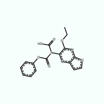 CCOc1nc2occc2nc1N(C(=O)O)C(=O)Oc1ccccc1